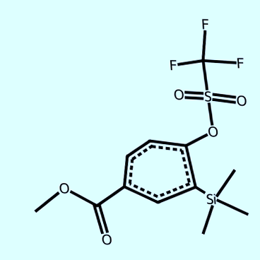 COC(=O)c1ccc(OS(=O)(=O)C(F)(F)F)c([Si](C)(C)C)c1